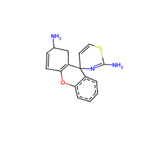 NC1=NC2(C=CS1)C1=C(C=CC(N)C1)Oc1ccccc12